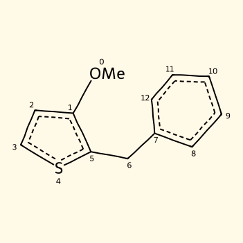 COc1ccsc1Cc1ccccc1